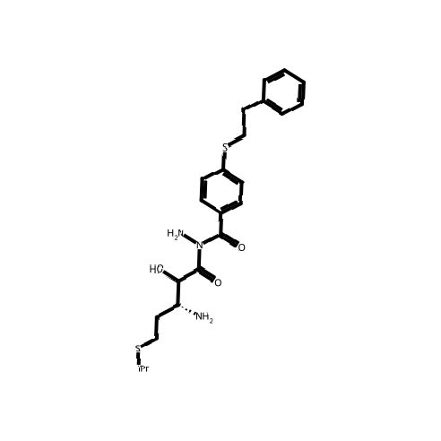 CC(C)SCC[C@@H](N)C(O)C(=O)N(N)C(=O)c1ccc(SCCc2ccccc2)cc1